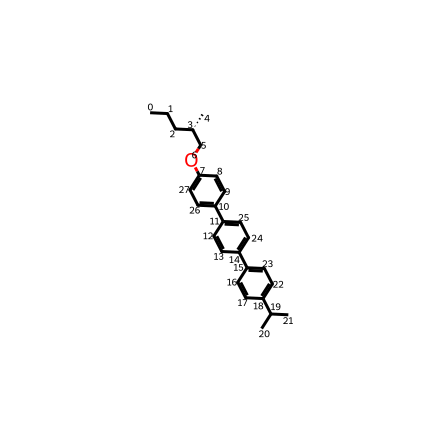 CCC[C@H](C)COc1ccc(-c2ccc(-c3ccc(C(C)C)cc3)cc2)cc1